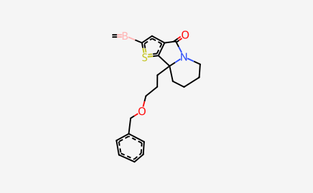 C=Bc1cc2c(s1)C1(CCCOCc3ccccc3)CCCCN1C2=O